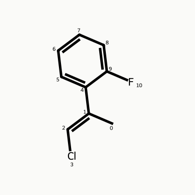 C/C(=C\Cl)c1ccccc1F